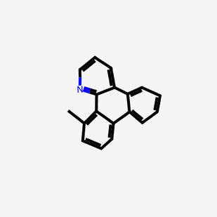 Cc1cccc2c3ccccc3c3cccnc3c12